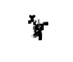 CN(C)C(=O)OC[C@@H]1NC(=N)N2CCC(O)(O)[C@@]23NC(=N)N[C@@H]13